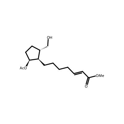 COC(=O)C=CCCCC[C@@H]1[C@@H](CO)CC[C@@H]1OC(C)=O